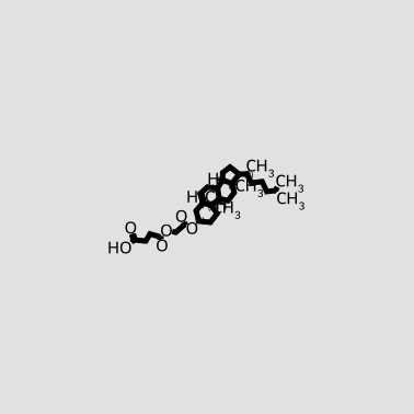 CC(C)CCC[C@@H](C)C1CC[C@H]2[C@]3(C)CC=C4C[C@@H](OC(=O)COC(=O)CCC(=O)O)CC[C@]4(C)[C@H]3CC[C@]12C